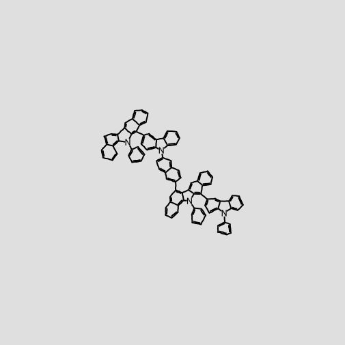 c1ccc(-n2c3ccccc3c3cc(-c4c5ccccc5cc5c6c(-c7ccc8cc(-n9c%10ccccc%10c%10cc(-c%11c%12ccccc%12cc%12c%13ccc%14ccccc%14c%13n(-c%13ccccc%13)c%11%12)ccc%109)ccc8c7)cc7ccccc7c6n(-c6ccccc6)c45)ccc32)cc1